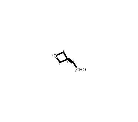 O=CC=C1COC1